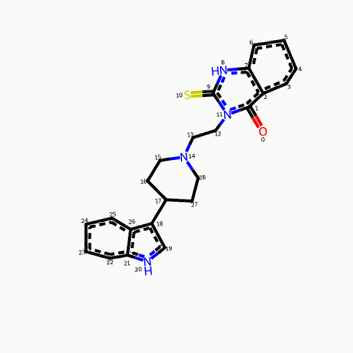 O=c1c2ccccc2[nH]c(=S)n1CCN1CCC(c2c[nH]c3ccccc23)CC1